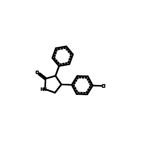 O=C1NCC(c2ccc(Cl)cc2)C1c1ccccc1